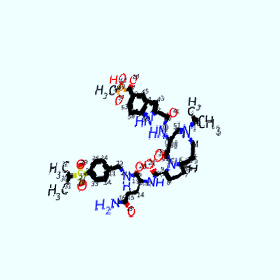 CC(C)N1CC[C@H]2CC[C@@H](C(=O)N[C@@H](CCC(N)=O)C(=O)NCc3ccc(S(=O)(=O)C(C)C)cc3)N2C(=O)[C@@H](NC(=O)c2cc3cc(C(=O)P(C)(=O)O)ccc3[nH]2)C1